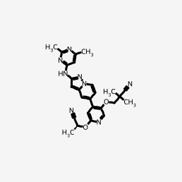 Cc1cc(Nc2cc3cc(-c4cc(O[C@@H](C)C#N)ncc4OCC(C)(C)C#N)ccn3n2)nc(C)n1